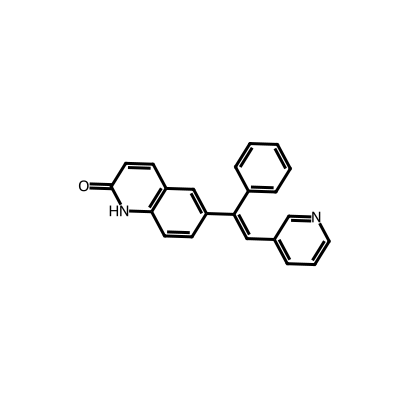 O=c1ccc2cc(C(=Cc3cccnc3)c3ccccc3)ccc2[nH]1